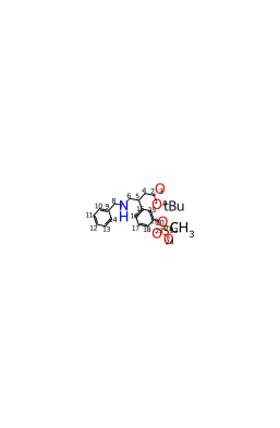 CC(C)(C)OC(=O)CC(CNCc1ccccc1)c1cccc(OS(C)(=O)=O)c1